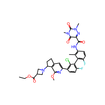 CCOC(=O)C1CN(C2CCc3cc(-c4ccc(F)c(-c5c(F)ccc(NC(=O)c6nn(C)c(=O)n(C)c6=O)c5C)c4Cl)nc(OC)c32)C1